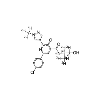 [2H]C([2H])([2H])n1cc(-n2nc(-c3ccc(Cl)cc3)cc(C(=O)N[C@@]([2H])(C([2H])([2H])[2H])C([2H])([2H])O)c2=O)cn1